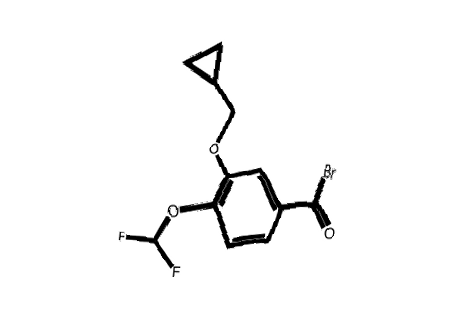 O=C(Br)c1ccc(OC(F)F)c(OCC2CC2)c1